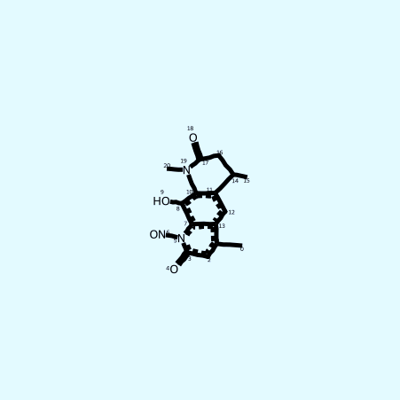 Cc1cc(=O)n(N=O)c2c(O)c3c(cc12)C(C)CC(=O)N3C